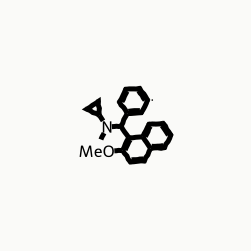 COc1ccc2ccccc2c1C(c1c[c]ccc1)N(C)C1CC1